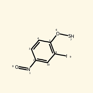 O=Nc1ccc(OS)c(I)c1